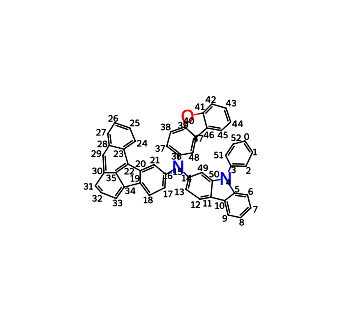 c1ccc(-n2c3ccccc3c3ccc(N(c4ccc5c(c4)-c4c6ccccc6cc6cccc-5c46)c4ccc5oc6ccccc6c5c4)cc32)cc1